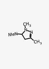 CNC1CC(C)=NN1C